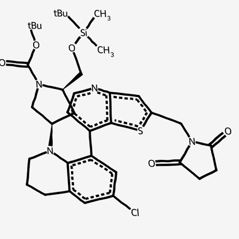 CC(C)(C)OC(=O)N1C[C@H](N2CCCc3cc(Cl)cc(-c4ccnc5cc(CN6C(=O)CCC6=O)sc45)c32)C[C@@H]1CO[Si](C)(C)C(C)(C)C